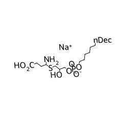 CCCCCCCCCCCCCCCCOP(=O)([O-])OCC(O)CSC(N)CCC(=O)O.[Na+]